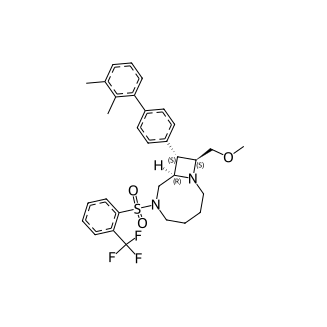 COC[C@@H]1[C@@H](c2ccc(-c3cccc(C)c3C)cc2)[C@@H]2CN(S(=O)(=O)c3ccccc3C(F)(F)F)CCCCN12